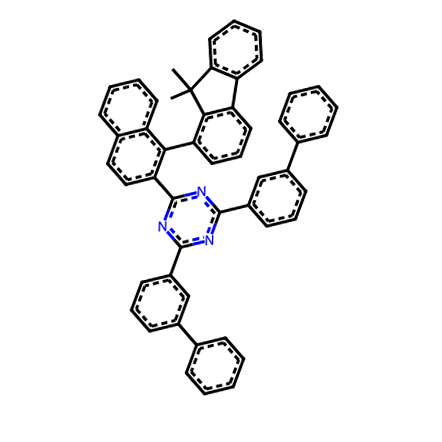 CC1(C)c2ccccc2-c2cccc(-c3c(-c4nc(-c5cccc(-c6ccccc6)c5)nc(-c5cccc(-c6ccccc6)c5)n4)ccc4ccccc34)c21